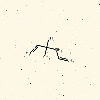 C=C[SiH2]C(C)(C)C=C